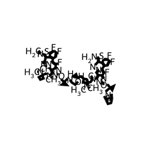 C=Nc1sc2c(F)c(F)cc(-c3ncc4c(N(C)CC5(N(C)C)CCC5)nc(OCC5(CN6CCOC7(CC8CC(CN(C)c9nc(OCC%10(CN%11CC%12CCC(C%11)O%12)CC%10)nc%10c(F)c(-c%11cc(F)c(F)c%12sc(N)c(C#N)c%11%12)ncc9%10)(N(C)C)C8)C[C@@H]67)CC5)nc4c3F)c2c1C#N